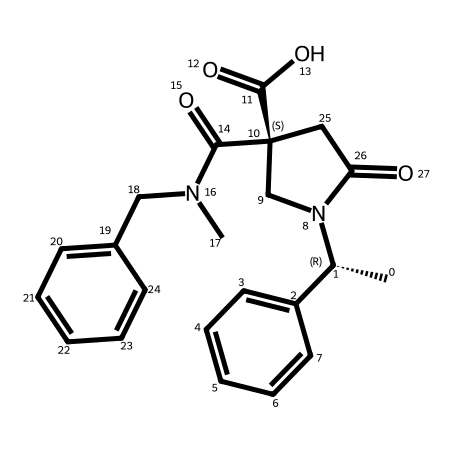 C[C@H](c1ccccc1)N1C[C@](C(=O)O)(C(=O)N(C)Cc2ccccc2)CC1=O